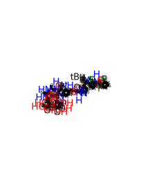 CC(NC(=O)C(C)NC(=O)[C@H](O)[C@H](O)[C@@H](O[C@@H]1O[C@H](CO)[C@H](O)[C@H](O)[C@H]1O)[C@H](O)CO)C(=O)NC(CC(N)=O)C(=O)Nc1ccc(COC(=O)Nc2nccc(-c3sc(C(C)(C)C)nc3-c3cccc(NS(=O)(=O)c4c(F)cccc4F)c3F)n2)cc1